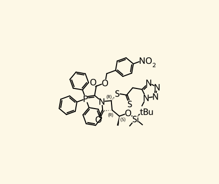 C[C@H](O[Si](C)(C)C(C)(C)C)[C@@H]1C(=O)N(C(C(=O)OCc2ccc([N+](=O)[O-])cc2)=P(c2ccccc2)(c2ccccc2)c2ccccc2)[C@@H]1SC(=S)Cc1nnnn1C